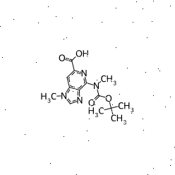 CN(C(=O)OC(C)(C)C)c1nc(C(=O)O)cc2c1ncn2C